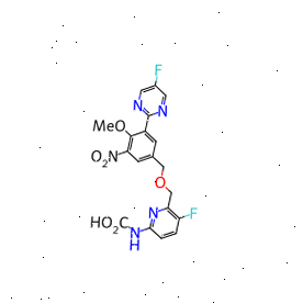 COc1c(-c2ncc(F)cn2)cc(COCc2nc(NC(=O)O)ccc2F)cc1[N+](=O)[O-]